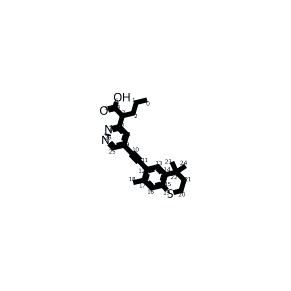 CCCC(C(=O)O)c1cc(C#Cc2cc3c(cc2C)SCCC3(C)C)cnn1